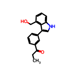 CCC(=O)c1cccc(-c2c[nH]c3cccc(CO)c23)c1